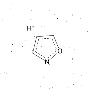 [H+].[c]1cnoc1